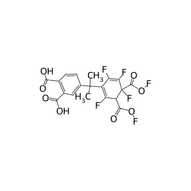 CC(C)(C1=C(F)C(C(=O)OF)C(F)(C(=O)OF)C(F)=C1F)c1ccc(C(=O)O)c(C(=O)O)c1